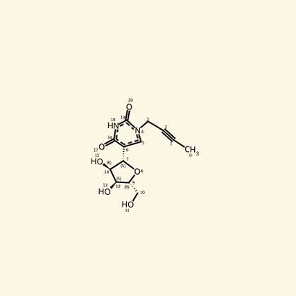 CC#CCn1cc([C@@H]2O[C@H](CO)[C@@H](O)[C@H]2O)c(=O)[nH]c1=O